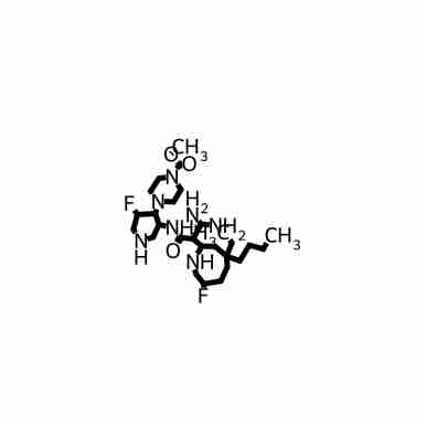 CCCCC1(CC)CCC(F)CNC(C(C(=O)NC2CNCC(F)C2N2CCN(C(=O)OC)CC2)C(N)N)C1